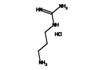 Cl.N=C(N)NCCCN